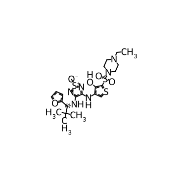 CCN1CCN(S(=O)(=O)c2scc(Nc3n[s+]([O-])nc3N[C@@H](c3ccco3)C(C)(C)C)c2O)CC1